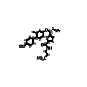 Cc1cc(O[C@H](CC(C)C)c2ccc(C(=O)NCCC(=O)O)s2)ccc1-c1ccc(C(C)(C)C)cc1